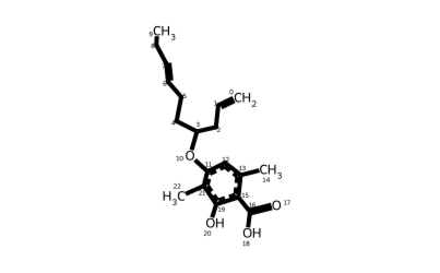 C=CCC(CCC=CCC)Oc1cc(C)c(C(=O)O)c(O)c1C